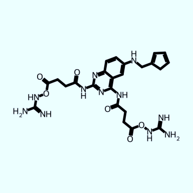 N=C(N)NOC(=O)CCC(=O)Nc1nc(NC(=O)CCC(=O)ONC(=N)N)c2cc(NCC3=CC=CC3)ccc2n1